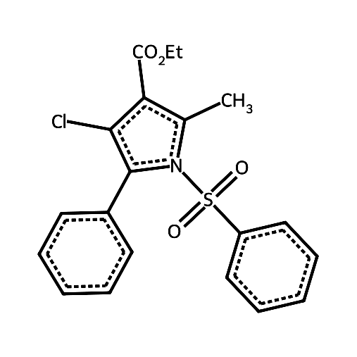 CCOC(=O)c1c(Cl)c(-c2ccccc2)n(S(=O)(=O)c2ccccc2)c1C